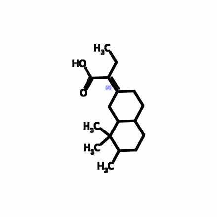 CC/C(C(=O)O)=C1\CCC2CCC(C)C(C)(C)C2C1